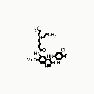 C=CCN(CC=C)CC=CC(=O)Nc1cc2c(Nc3ccc(F)c(Cl)c3)c(C#N)cnc2cc1OC